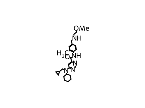 COCCNCc1ccc(NC(=O)c2cc(N(CC3CC3)C3CCCCC3)ncn2)c(C)c1